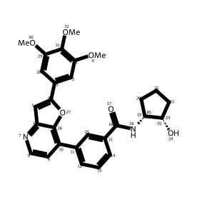 COc1cc(-c2cc3nccc(-c4cccc(C(=O)N[C@@H]5CCC[C@@H]5O)c4)c3o2)cc(OC)c1OC